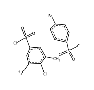 Cc1cc(S(=O)(=O)Cl)cc(C)c1Cl.O=S(=O)(Cl)c1ccc(Br)cc1